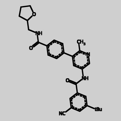 Cc1ncc(NC(=O)c2cc(C#N)cc(C(C)(C)C)c2)cc1-c1ccc(C(=O)NCC2CCCO2)cc1